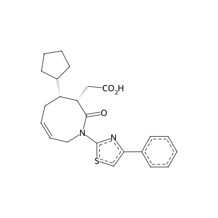 O=C(O)C[C@@H]1C(=O)N(c2nc(-c3ccccc3)cs2)CC=CC[C@@H]1C1CCCC1